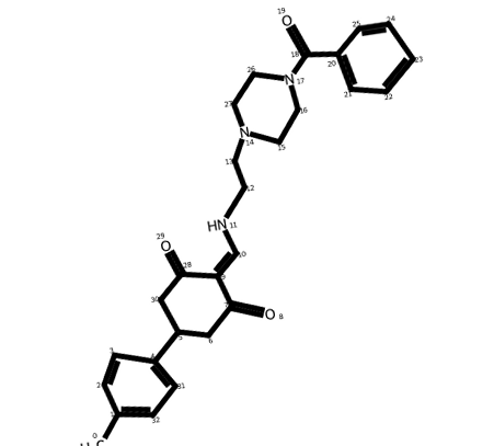 Cc1ccc(C2CC(=O)C(=CNCCN3CCN(C(=O)c4ccccc4)CC3)C(=O)C2)cc1